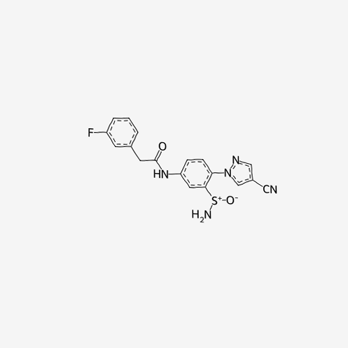 N#Cc1cnn(-c2ccc(NC(=O)Cc3cccc(F)c3)cc2[S+](N)[O-])c1